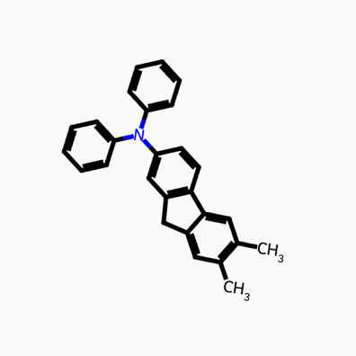 Cc1cc2c(cc1C)-c1ccc(N(c3ccccc3)c3ccccc3)cc1C2